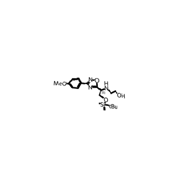 COc1ccc(-c2noc([C@H](CO[Si](C)(C)C(C)(C)C)NCCO)n2)cc1